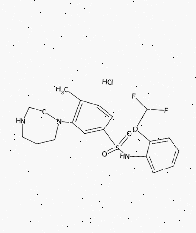 Cc1ccc(S(=O)(=O)Nc2ccccc2OC(F)F)cc1N1CCCNCC1.Cl